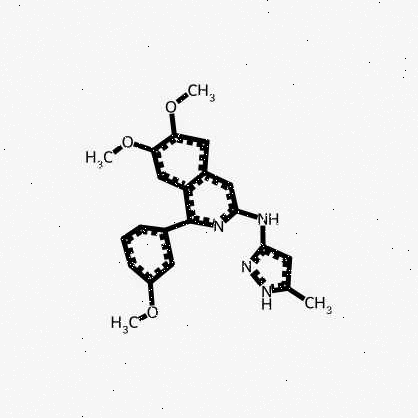 COc1cccc(-c2nc(Nc3cc(C)[nH]n3)cc3cc(OC)c(OC)cc23)c1